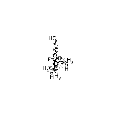 CCC(CCC(C)(C)S)(CCC(C)(C)S)C(=O)OCCOCCO